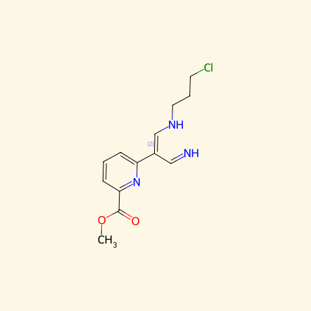 COC(=O)c1cccc(/C(C=N)=C/NCCCCl)n1